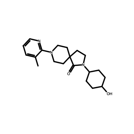 Cc1c[c]cnc1N1CCC2(CC1)CCN(C1CCC(O)CC1)C2=O